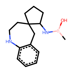 CB(O)NC1CCCC12CCNc1ccccc1C2